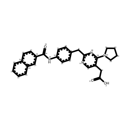 O=C(O)Cc1cnc(Cc2ccc(NC(=O)c3ccc4ccccc4c3)cc2)nc1N1CCCC1